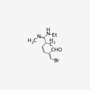 CCN/C(=N/C)C(C)/C=C\C(C=O)=C\Br